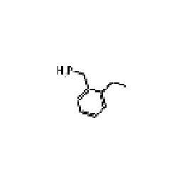 CCc1ccccc1CP